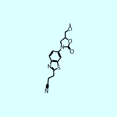 COCC1CN(c2ccc3nc(CCC#N)sc3c2)C(=O)O1